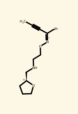 CC#C/C(=N\OCCNC[C@@H]1CCCO1)C(C)C